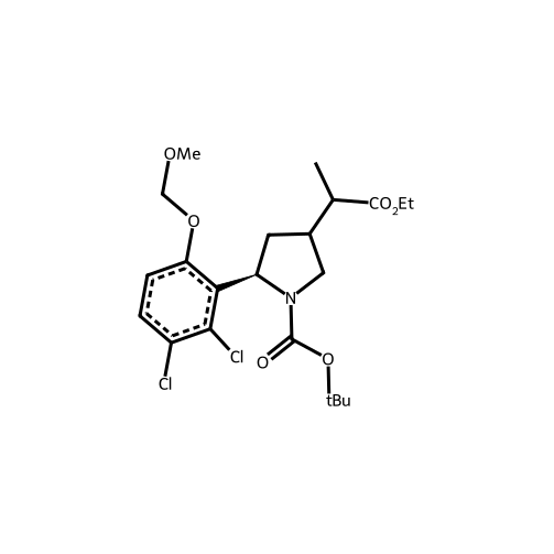 CCOC(=O)C(C)C1C[C@H](c2c(OCOC)ccc(Cl)c2Cl)N(C(=O)OC(C)(C)C)C1